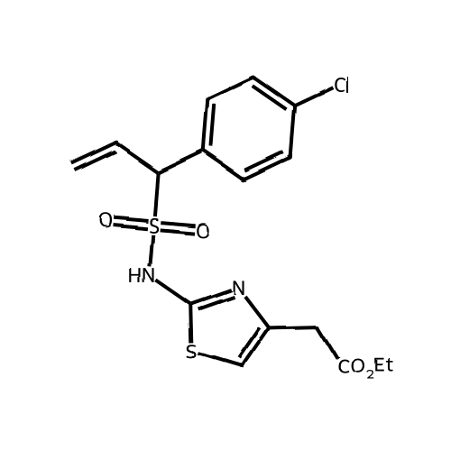 C=CC(c1ccc(Cl)cc1)S(=O)(=O)Nc1nc(CC(=O)OCC)cs1